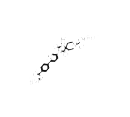 CC(C)(C)OC(=O)c1ccc(-c2ccc(N3C(=O)NC4(CCN(C(=O)OC(C)(C)C)CC4)C3=O)cn2)cc1